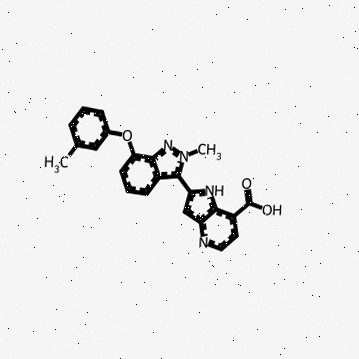 Cc1cccc(Oc2cccc3c(-c4cc5nccc(C(=O)O)c5[nH]4)n(C)nc23)c1